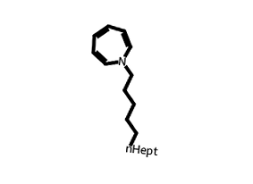 CCCCCCCCCCCCN1C=CC=CC=C1